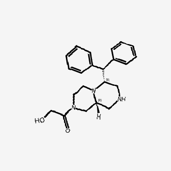 O=C(CO)N1CCN2[C@H](CNC[C@H]2C(c2ccccc2)c2ccccc2)C1